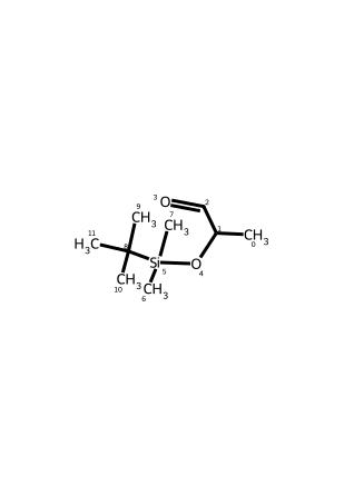 CC(C=O)O[Si](C)(C)C(C)(C)C